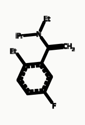 C=C(c1cc(F)ccc1CC)N(CC)C(C)C